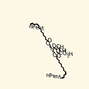 CCCCC/C=C\C/C=C\CCCCCCCC(=O)OCCN(CCOC(=O)CCCCCCC/C=C\C/C=C\CCCCC)C(=O)[C@H](CCC(=O)O)N(C)C